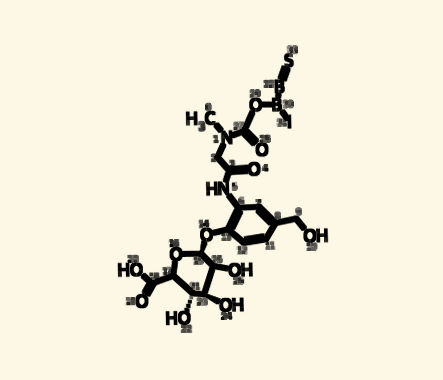 CN(CC(=O)Nc1cc(CO)ccc1O[C@@H]1OC(C(=O)O)[C@@H](O)[C@H](O)C1O)C(=O)OB(I)B=S